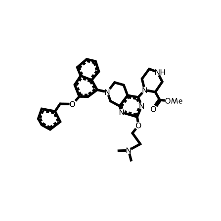 COC(=O)C1CNCCN1c1nc(OCCN(C)C)nc2c1CCN(c1cc(OCc3ccccc3)cc3ccccc13)C2